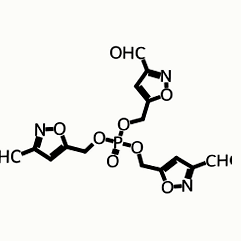 O=Cc1cc(COP(=O)(OCc2cc(C=O)no2)OCc2cc(C=O)no2)on1